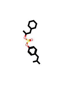 CC(C)Cc1ccc(OS(=O)OC(C)CC2CCCCC2)cc1